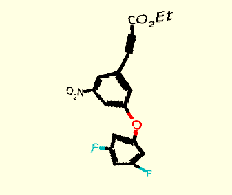 CCOC(=O)C#Cc1cc(Oc2cc(F)cc(F)c2)cc([N+](=O)[O-])c1